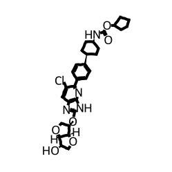 O=C(N[C@H]1CC[C@H](c2ccc(-c3nc4[nH]c(O[C@@H]5CO[C@H]6[C@@H]5OC[C@H]6O)nc4cc3Cl)cc2)CC1)OC1CCCC1